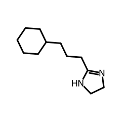 C1CCC(CCCC2=NCCN2)CC1